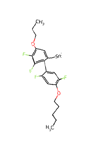 CCCCCOc1cc(F)c(-c2[c]([Sn])cc(OCCC)c(F)c2F)cc1F